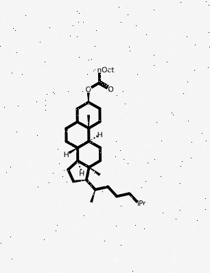 CCCCCCCCC(=O)O[C@H]1CC[C@@]2(C)C(CC[C@H]3[C@@H]4CC[C@H]([C@H](C)CCCC(C)C)[C@@]4(C)CC[C@@H]32)C1